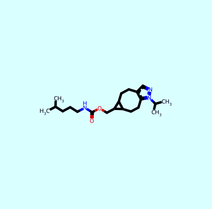 CC(C)CCCNC(=O)OCC1C2CCc3cnn(C(C)C)c3CCC21